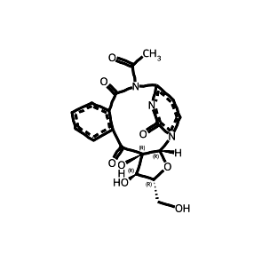 CC(=O)N1C(=O)c2ccccc2C(=O)[C@@]2(O)[C@H](O)[C@@H](CO)O[C@H]2n2ccc1nc2=O